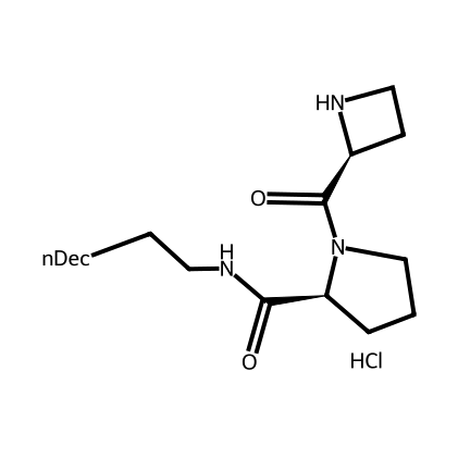 CCCCCCCCCCCCNC(=O)[C@@H]1CCCN1C(=O)[C@@H]1CCN1.Cl